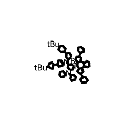 CC(C)(C)c1ccc(-c2ccc(N3c4cc(-c5ccc(C(C)(C)C)cc5)ccc4B4c5cc(-c6ccccc6)cc6c5N(c5ccc(-c7ccccc7)cc5-c5ccccc5-6)c5cc(N(c6ccccc6)c6ccccc6)cc3c54)cc2)cc1